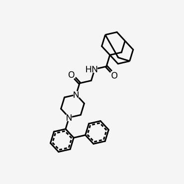 O=C(CNC(=O)C12CC3CC(CC(C3)C1)C2)N1CCN(c2ccccc2-c2ccccc2)CC1